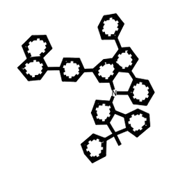 CC1(c2ccccc2)c2ccccc2-c2c(N(c3cccc(-c4ccc(-c5cccc6ccccc56)cc4)c3)c3ccccc3-c3ccc(-c4ccccc4)cc3)cccc21